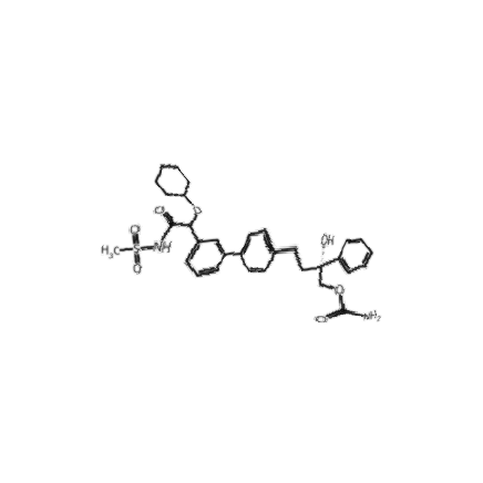 CS(=O)(=O)NC(=O)C(OC1CCCCC1)c1cccc(-c2ccc(CC[C@](O)(COC(N)=O)c3ccccc3)cc2)c1